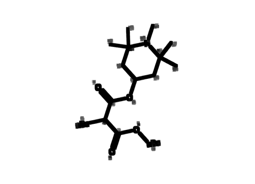 CCCCOC(=O)C(CCCC)C(=O)OC1CC(C)(C)N(C)C(C)(C)C1